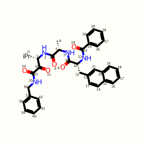 CC(C)[C@H](NC(=O)[C@H](C)NC(=O)[C@@H](Cc1ccc2ccccc2c1)NC(=O)c1ccccc1)C(=O)C(=O)NCc1ccccc1